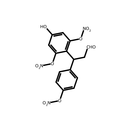 O=CCC(c1ccc(O[N+](=O)[O-])cc1)c1c(O[N+](=O)[O-])cc(O)cc1O[N+](=O)[O-]